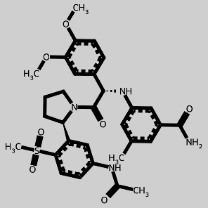 COc1ccc([C@H](Nc2cc(C)cc(C(N)=O)c2)C(=O)N2CCC[C@@H]2c2cc(NC(C)=O)ccc2S(C)(=O)=O)cc1OC